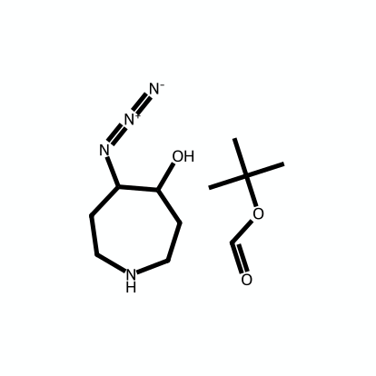 CC(C)(C)OC=O.[N-]=[N+]=NC1CCNCCC1O